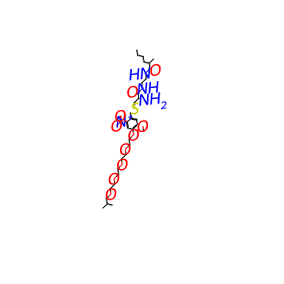 CCCCC(C)C(=O)NCCNC(=O)C(N)CSCc1cc(OC)c(OCCOCCOCCOCCOCC(C)C)cc1[N+](=O)[O-]